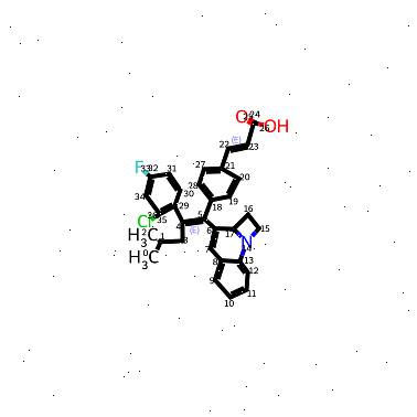 CC(C)C/C(=C(\C1=Cc2ccccc2N2CCC12)c1ccc(/C=C/C(=O)O)cc1)c1ccc(F)cc1Cl